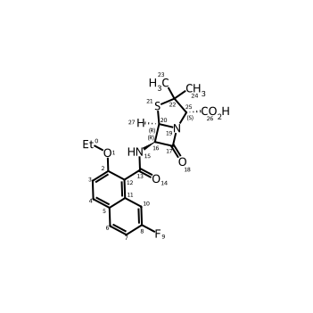 CCOc1ccc2ccc(F)cc2c1C(=O)N[C@@H]1C(=O)N2[C@@H]1SC(C)(C)[C@@H]2C(=O)O